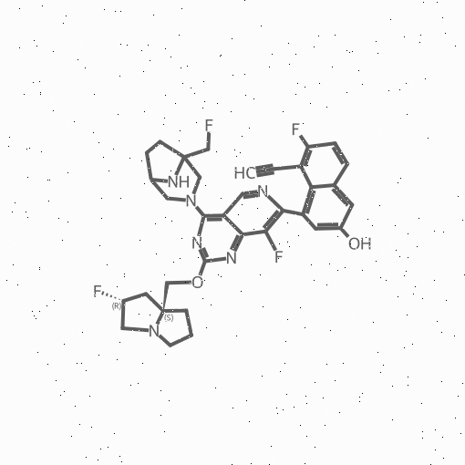 C#Cc1c(F)ccc2cc(O)cc(-c3ncc4c(N5CC6CCC(CF)(C5)N6)nc(OC[C@@]56CCCN5C[C@H](F)C6)nc4c3F)c12